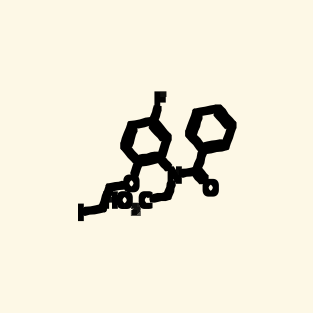 O=C(O)CN(C(=O)c1ccccc1)c1cc(F)ccc1OCCI